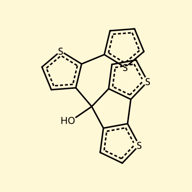 OC1(c2ccsc2-c2cccs2)c2ccsc2-c2sccc21